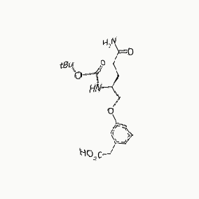 CC(C)(C)OC(=O)N[C@@H](CCC(N)=O)COc1cccc(CC(=O)O)c1